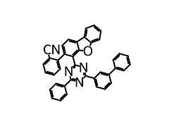 N#Cc1ccccc1-c1ccc2c(oc3ccccc32)c1-c1nc(-c2ccccc2)nc(-c2cccc(-c3ccccc3)c2)n1